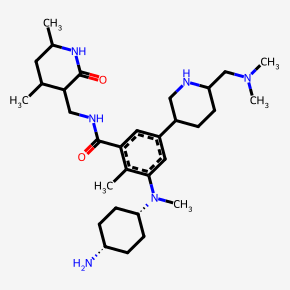 Cc1c(C(=O)NCC2C(=O)NC(C)CC2C)cc(C2CCC(CN(C)C)NC2)cc1N(C)[C@H]1CC[C@@H](N)CC1